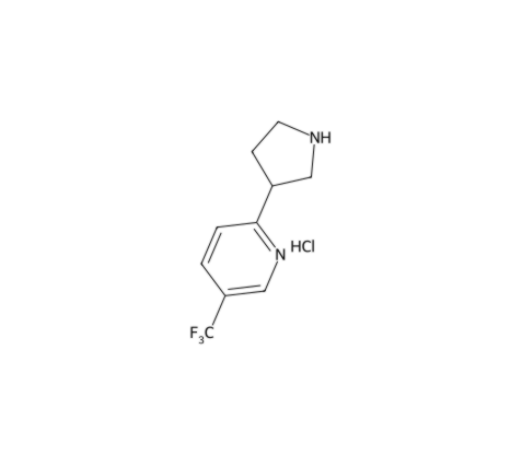 Cl.FC(F)(F)c1ccc(C2CCNC2)nc1